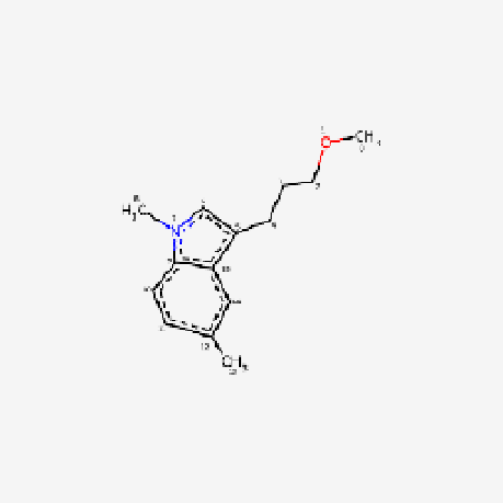 COCCCc1cn(C)c2ccc(C)cc12